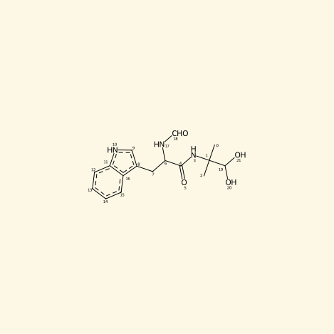 CC(C)(NC(=O)C(Cc1c[nH]c2ccccc12)NC=O)C(O)O